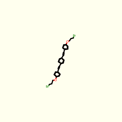 BrCCCOc1ccc(C#Cc2ccc(C#Cc3ccc(OCCCBr)cc3)cc2)cc1